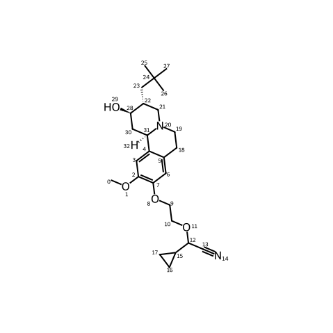 COc1cc2c(cc1OCCOC(C#N)C1CC1)CCN1C[C@@H](CC(C)(C)C)[C@H](O)C[C@H]21